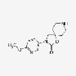 COc1ccc(N2CC3(CCNCC3)OC2=O)cn1